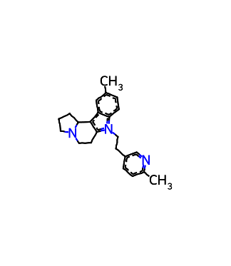 Cc1ccc2c(c1)c1c(n2CCc2ccc(C)nc2)CCN2CCCC12